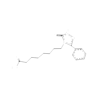 O=C(O)CCCCCCCn1c(-c2ccccc2)n[nH]c1=S